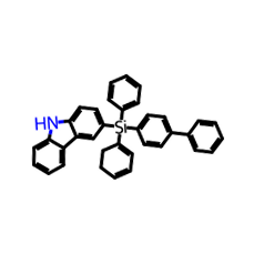 C1=CCCC([Si](c2ccccc2)(c2ccc(-c3ccccc3)cc2)c2ccc3[nH]c4ccccc4c3c2)=C1